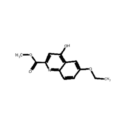 CCOc1ccc2nc(C(=O)OC)cc(O)c2c1